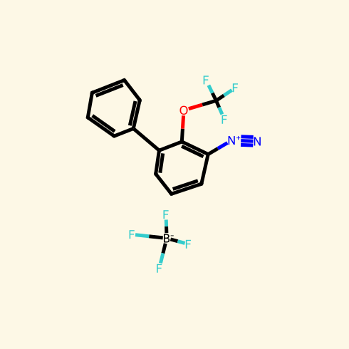 F[B-](F)(F)F.N#[N+]c1cccc(-c2ccccc2)c1OC(F)(F)F